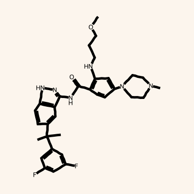 COCCCNc1cc(N2CCN(C)CC2)ccc1C(=O)Nc1n[nH]c2ccc(C(C)(C)c3cc(F)cc(F)c3)cc12